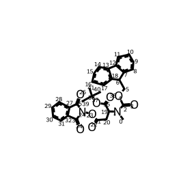 CN(C(=O)OCC1c2ccccc2-c2ccccc21)C(CC(=O)ON1C(=O)c2ccccc2C1=O)C(=O)OC(C)(C)C